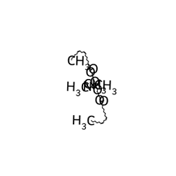 CCCCC/C=C\C/C=C\CCCCCCCC(=O)OCCCCOc1cc(CN(C)C)cc(OCCCCOC(=O)CCCCCCC/C=C\C/C=C\CCCCC)c1C